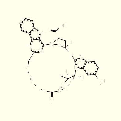 C[C@H]1CN2CC[C@@H]1n1c(nc3ccc(O)cc31)O[C@H]1C[C@@H](C(=O)O)N(C1)c1nc(nc3c1oc1ccccc13)CCOCCCC2=O